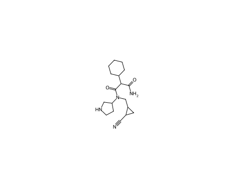 N#CC1CC1CN(C(=O)C(C(N)=O)C1CCCCC1)C1CCNC1